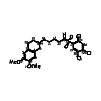 COc1cc2c(cc1OC)CN(CCCCNS(=O)(=O)c1cc(Cl)c(Cl)cc1Cl)CC2